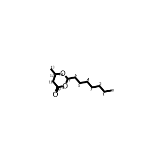 CCCCCCCC1OC(=O)CC(C)O1